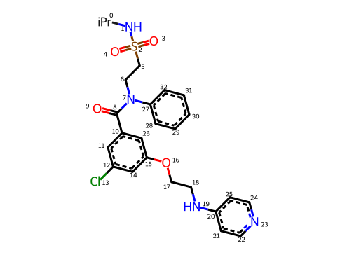 CC(C)NS(=O)(=O)CCN(C(=O)c1cc(Cl)cc(OCCNc2ccncc2)c1)c1ccccc1